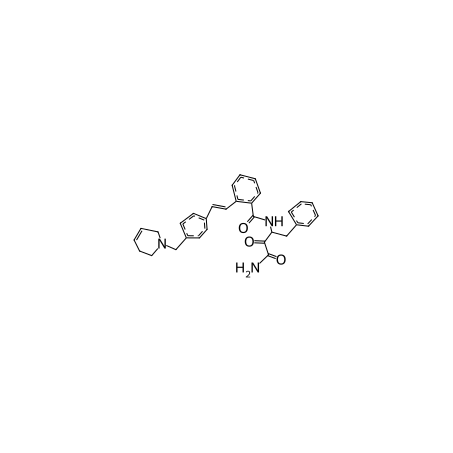 NC(=O)C(=O)C(Cc1ccccc1)NC(=O)c1ccccc1C=Cc1ccc(CN2CC=CCC2)cc1